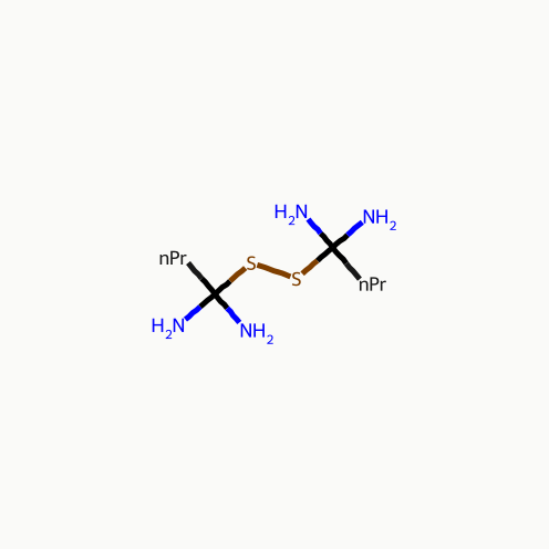 CCCC(N)(N)SSC(N)(N)CCC